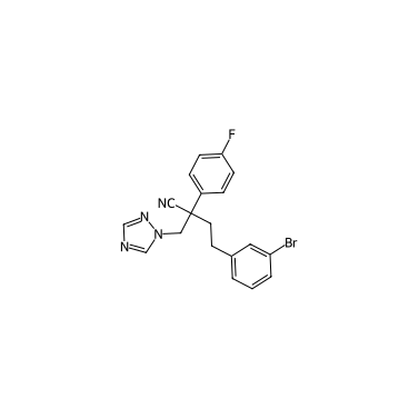 N#CC(CCc1cccc(Br)c1)(Cn1cncn1)c1ccc(F)cc1